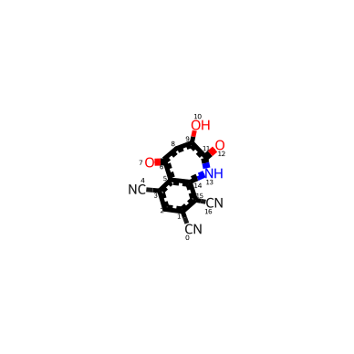 N#Cc1cc(C#N)c2c(=O)cc(O)c(=O)[nH]c2c1C#N